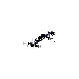 C#C/C(=C\C=C(/C)Cc1ccc(-c2ccc(/C(=C/C=C(\C)c3cccs3)CCC)s2)s1)c1ccc(N)s1